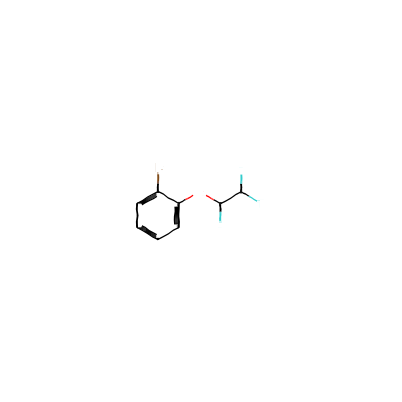 FC(F)C(F)Oc1ccccc1Br